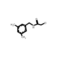 Cc1cc(C)cc(CNC(=O)CCl)c1